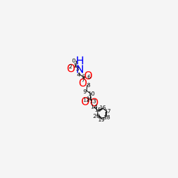 CC(=O)NCC(=O)OCCCC(=O)OCc1ccccc1